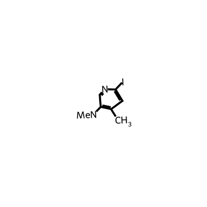 CNc1cnc(I)cc1C